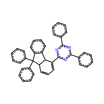 C1=CC2C(C(c3nc(-c4ccccc4)nc(-c4ccccc4)n3)=C1)c1ccccc1C2(c1ccccc1)c1ccccc1